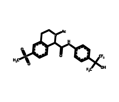 CC(=O)N1CCc2cc(S(C)(=O)=O)ccc2C1C(=O)Nc1ccc(C(O)(C(F)(F)F)C(F)(F)F)cc1